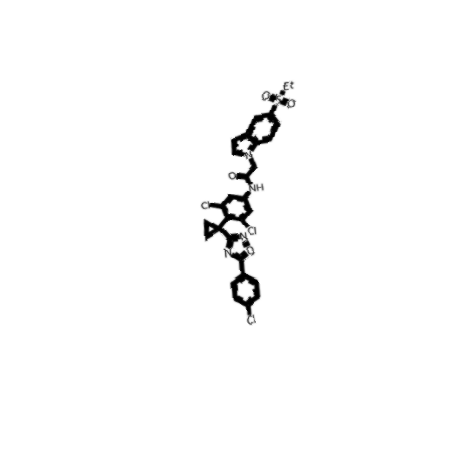 CCS(=O)(=O)c1ccc2c(ccn2CC(=O)Nc2cc(Cl)c(C3(c4noc(-c5ccc(Cl)cc5)n4)CC3)c(Cl)c2)c1